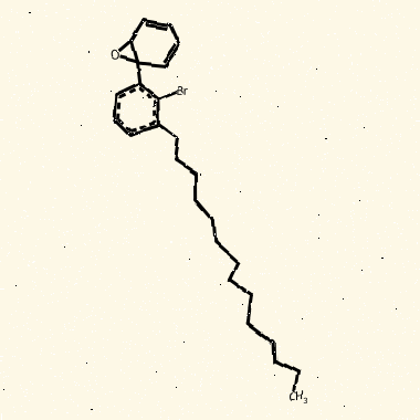 CCCCCCCCCCCCCCc1cccc(C23C=CC=CC2O3)c1Br